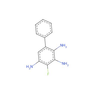 Nc1cc(-c2ccccc2)c(N)c(N)c1F